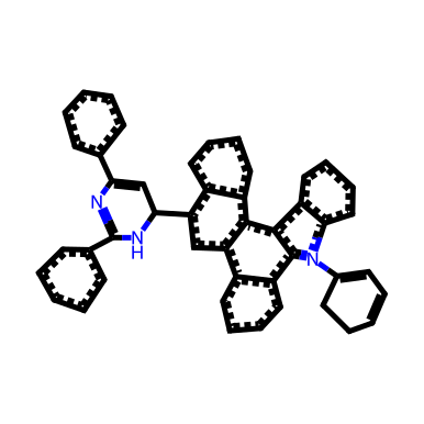 C1=CCCC(n2c3ccccc3c3c4c5ccccc5c(C5C=C(c6ccccc6)N=C(c6ccccc6)N5)cc4c4ccccc4c32)=C1